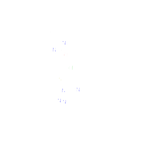 Cc1nc(=O)n(CC#Cc2cc3c(s2)-n2c(C)nnc2CN=C3c2ccccc2Cl)c2ccccc12